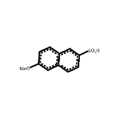 COc1ccc2cc(S(=O)(=O)O)ccc2c1